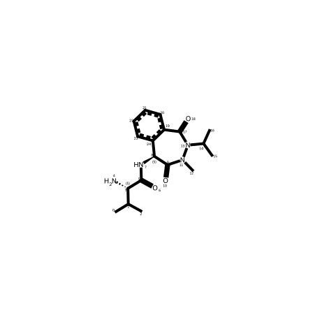 CC(C)[C@H](N)C(=O)N[C@@H]1C(=O)N(C)N(C(C)C)C(=O)c2ccccc21